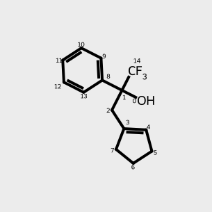 OC(CC1=CCCC1)(c1ccccc1)C(F)(F)F